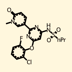 CCCS(=O)(=O)Nc1cc(Oc2c(F)cccc2Cl)nc(-c2ccc(=O)n(C)c2)n1